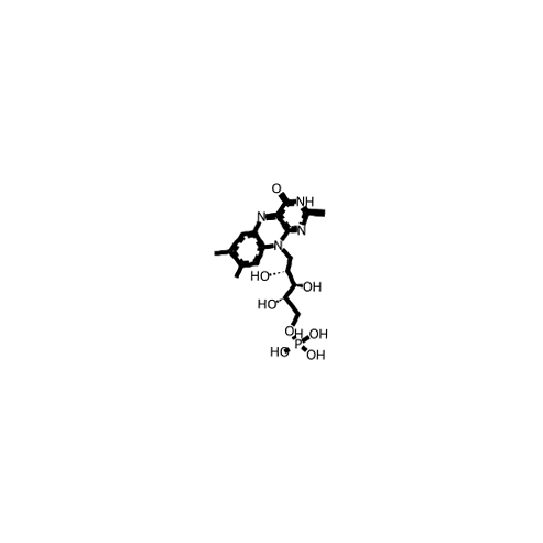 C=c1nc2c(c(=O)[nH]1)=Nc1cc(C)c(C)cc1N2C[C@@H](O)[C@@H](O)[C@@H](O)CO[PH](O)(O)O